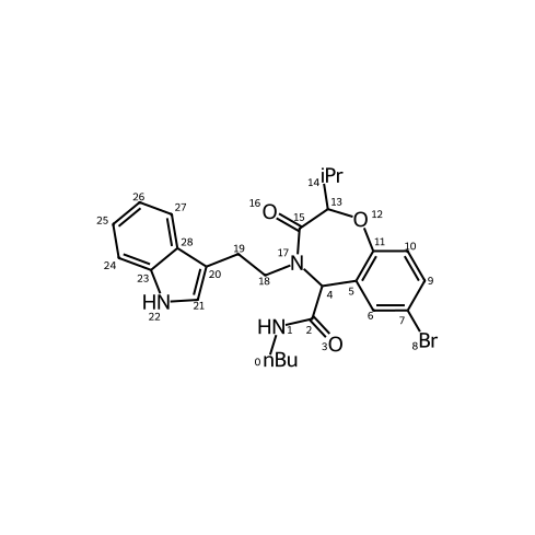 CCCCNC(=O)C1c2cc(Br)ccc2OC(C(C)C)C(=O)N1CCc1c[nH]c2ccccc12